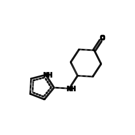 O=C1CCC(Nc2ccc[nH]2)CC1